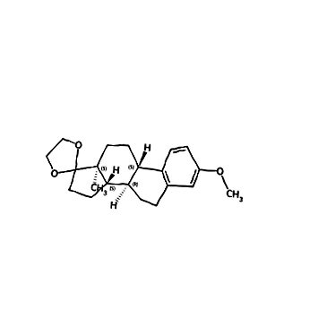 COc1ccc2c(c1)CC[C@@H]1[C@@H]2CC[C@@]2(C)[C@H]1CCC21OCCO1